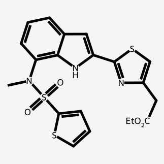 CCOC(=O)Cc1csc(-c2cc3cccc(N(C)S(=O)(=O)c4cccs4)c3[nH]2)n1